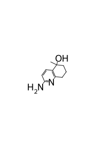 CC1(O)CCCc2nc(N)ccc21